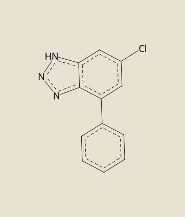 Clc1cc(-c2ccccc2)c2nn[nH]c2c1